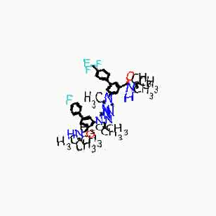 CC(C)(C)NC(=O)c1cc(-c2ccc(F)cc2)cc(-n2cnnc2C(C)(C)C)c1.Cc1nncn1-c1cc(C(=O)NC(C)(C)C)cc(-c2ccc(C(F)(F)F)cc2)c1